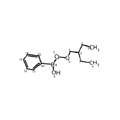 CCC(CC)COOB(O)c1ccccc1